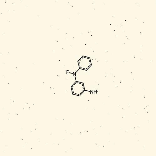 [NH]c1cccc(N(F)c2ccccc2)c1